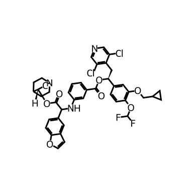 O=C(O[C@@H](Cc1c(Cl)cncc1Cl)c1ccc(OC(F)F)c(OCC2CC2)c1)c1cccc(NC(C(=O)O[C@H]2CN3CCC2CC3)c2ccc3occc3c2)c1